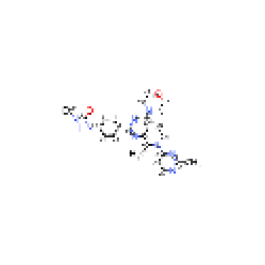 CCNC(=O)Nc1ccc(-c2nc3c(c(N4CCOCC4)n2)CCN(c2ccnc(C)n2)C3C)cc1